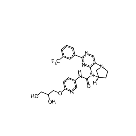 O=C(Nc1ccc(OCC(O)CO)nc1)N1c2nc(-c3cccc(C(F)(F)F)c3)ncc2N2CC[C@H]1C2